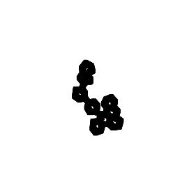 c1ccc(-c2ccccc2N(c2ccc(-c3cccc(-c4cc5ccccc5o4)c3)cc2)c2cccc3ccccc23)cc1